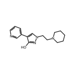 Oc1nn(CCN2CCCCC2)cc1-c1cccnc1